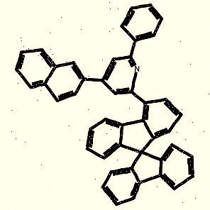 c1ccc(-c2cc(-c3ccc4ccccc4c3)cc(-c3cccc4c3-c3ccccc3C43c4ccccc4-c4ccccc43)n2)cc1